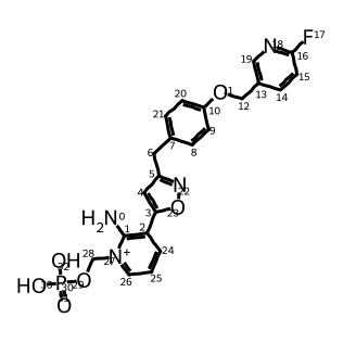 Nc1c(-c2cc(Cc3ccc(OCc4ccc(F)nc4)cc3)no2)ccc[n+]1COP(=O)(O)O